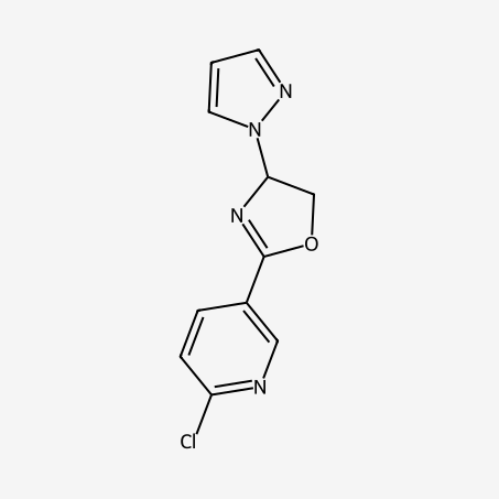 Clc1ccc(C2=NC(n3cccn3)CO2)cn1